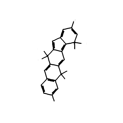 CC1(O)C=C(Br)C=C2C=C3C(=C21)C=C1C(=Cc2ccc(Br)cc2C1(C)C)C3(C)O